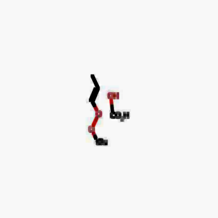 CC=COOC(C)(C)C.O=C(O)O